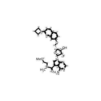 COCCN(C)C(=O)c1cn([C@@H]2O[C@H](COc3ccc4ccc(N5CCC5)nc4c3)[C@@H](O)[C@@H]2F)c2ncnc(N)c12